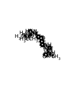 COC(=O)N[C@H](C(=O)N1C(c2ncc(-c3ccc4c(c3)COc3cc5c(ccc6nc([C@@H]7CC[C@H](I)N7C(=O)[C@@H](NC(=O)OC)C7CCOCC7)[nH]c65)cc3-4)[nH]2)CC[C@@H]1C)C(C)C